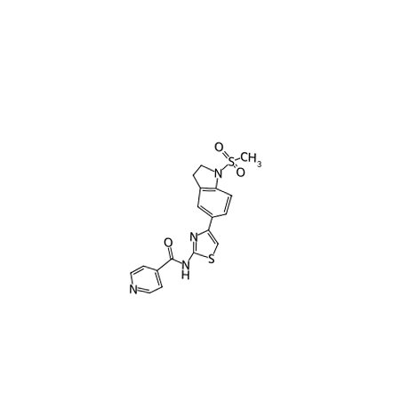 CS(=O)(=O)N1CCc2cc(-c3csc(NC(=O)c4ccncc4)n3)ccc21